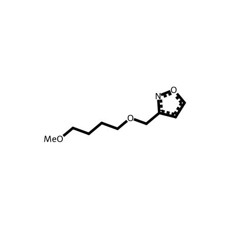 COCCCCOCc1ccon1